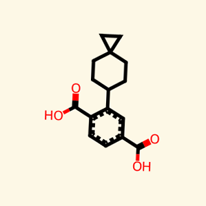 O=C(O)c1ccc(C(=O)O)c(C2CCC3(CC2)CC3)c1